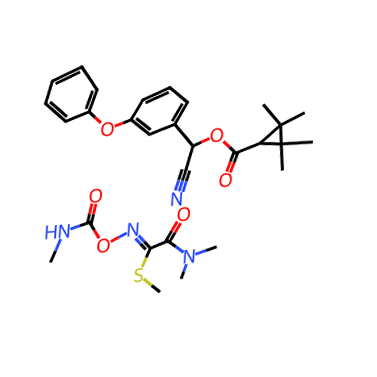 CC1(C)C(C(=O)OC(C#N)c2cccc(Oc3ccccc3)c2)C1(C)C.CNC(=O)ON=C(SC)C(=O)N(C)C